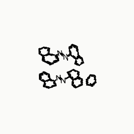 c1ccc2c(N=Nc3cccc4ccccc34)cccc2c1.c1ccc2c(N=Nc3cccc4ccccc34)cccc2c1.c1ccccc1